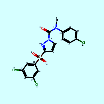 CC(C)N(C(=O)n1ccc(S(=O)(=O)c2cc(Cl)cc(Cl)c2)n1)c1ccc(Cl)cc1